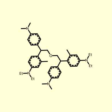 CCN(CC)c1ccc(C(COCC(c2ccc(N(C)C)cc2)c2ccc(N(CC)CC)cc2C)c2ccc(N(C)C)cc2)c(C)c1